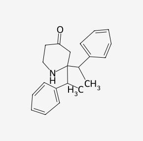 CC(c1ccccc1)C1(C(C)c2ccccc2)CC(=O)CCN1